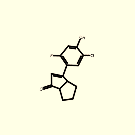 O=C1C=C(c2cc(Cl)c(O)cc2F)C2CCCC12